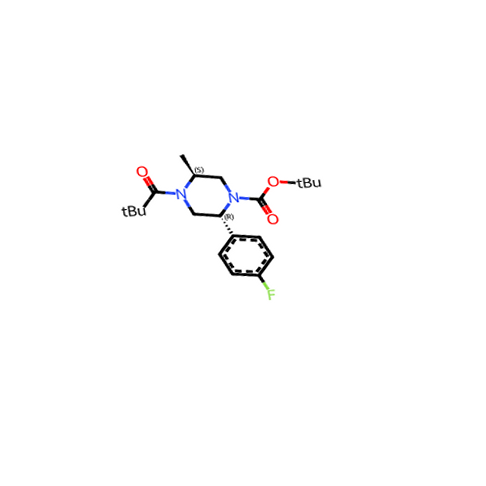 C[C@H]1CN(C(=O)OC(C)(C)C)[C@H](c2ccc(F)cc2)CN1C(=O)C(C)(C)C